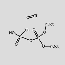 CCCCCCCCOP(=O)(OCCCCCCCC)OP(=O)(O)O.[O]=[Ti]